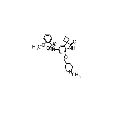 COc1ccccc1S(=O)(=O)Nc1cc(OCC2CCN(C)CC2)c2c(c1)C1(CCC1)C(=O)N2